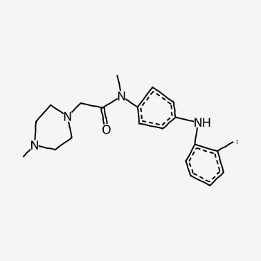 [CH]c1ccccc1Nc1ccc(N(C)C(=O)CN2CCN(C)CC2)cc1